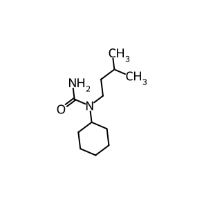 CC(C)CCN(C(N)=O)C1CCCCC1